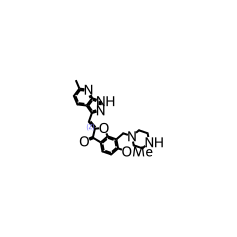 COc1ccc2c(c1CN1CCNCC1)O/C(=C\c1n[nH]c3nc(C)ccc13)C2=O